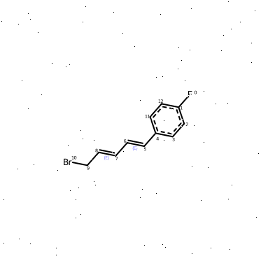 Fc1ccc(/C=C/C=C/CBr)cc1